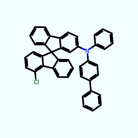 Clc1cccc2c1-c1ccccc1C21c2ccccc2-c2ccc(N(c3ccccc3)c3ccc(-c4ccccc4)cc3)cc21